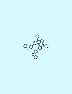 c1ccc(N2c3ccc(-c4ccc5oc6ccccc6c5c4)cc3B3c4cc(-c5ccc6oc7ccccc7c6c5)ccc4N(c4ccccc4)c4cccc2c43)cc1